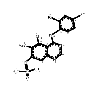 COc1c(N=S(C)(C)=O)cc2ncnc(Nc3ccc(F)cc3O)c2c1C